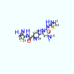 CN(C)CCC(NC(=O)Nc1nccs1)c1ccc(C(=O)Nc2cscc2N)nc1